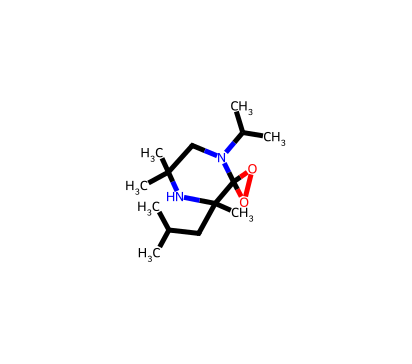 CC(C)CC1(C)NC(C)(C)CN(C(C)C)C12OO2